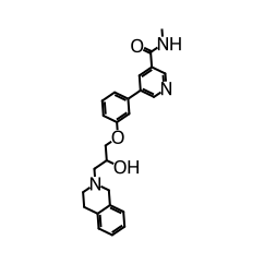 CNC(=O)c1cncc(-c2cccc(OCC(O)CN3CCc4ccccc4C3)c2)c1